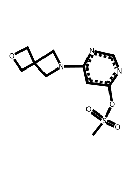 CS(=O)(=O)Oc1cc(N2CC3(COC3)C2)ncn1